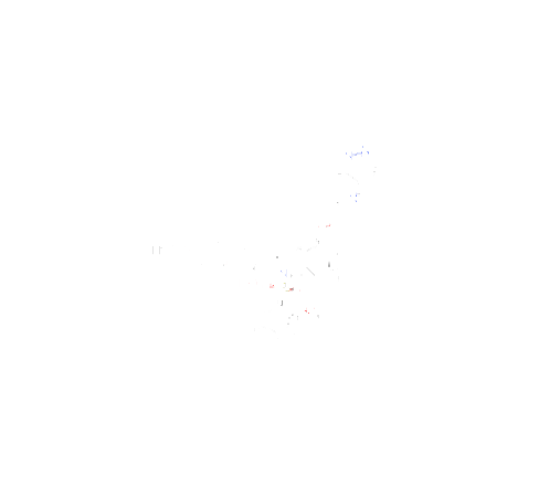 COCCOCC(O)CN(c1cc(C)cc(OCCNc2ccnnc2)c1)S(=O)(=O)c1ccccc1OC